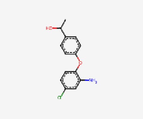 CC(O)c1ccc(Oc2ccc(Cl)cc2N)cc1